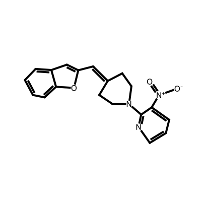 O=[N+]([O-])c1cccnc1N1CCC(=Cc2cc3ccccc3o2)CC1